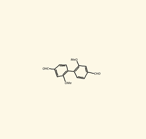 COc1cc(C=O)ccc1-c1ccc(C=O)cc1OC